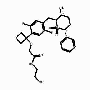 C[C@H]1CC[C@H](c2ccccc2)S(=O)(=O)N1Cc1cc(F)c(C2(OCC(=O)NCCO)COC2)cc1F